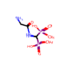 NCC(=O)NC(P(=O)(O)O)P(=O)(O)O